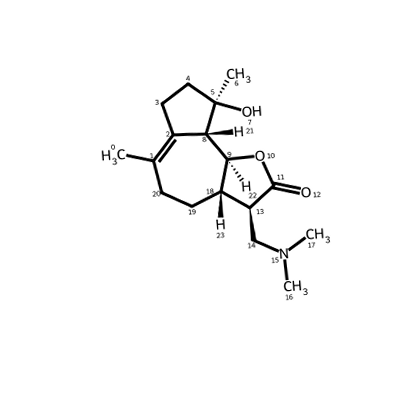 CC1=C2CC[C@@](C)(O)[C@@H]2[C@H]2OC(=O)[C@@H](CN(C)C)[C@@H]2CC1